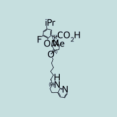 COc1c(F)cc(C(C)C)cc1[C@@H](C(=O)O)N1CC[C@@H](OCCCCCC[C@@H]2CCc3cccnc3N2)C1